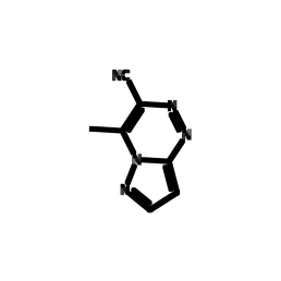 Cc1c(C#N)nnc2ccnn12